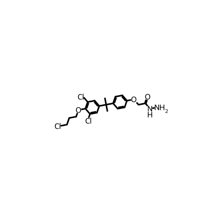 CC(C)(c1ccc(OCC(=O)NN)cc1)c1cc(Cl)c(OCCCCl)c(Cl)c1